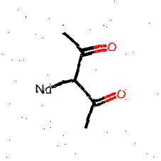 CC(=O)[CH]([Nd])C(C)=O